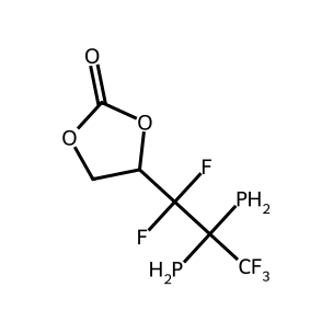 O=C1OCC(C(F)(F)C(P)(P)C(F)(F)F)O1